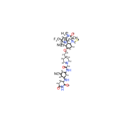 CCc1cc(N(C=S)C(C)(C)C(=O)N(C)c2cnc(C#N)c(C(F)(F)F)c2)ccc1OCCC1CCN(CC(=O)Nc2cc(C#N)cc(NC3CCC(=O)NC3=O)c2)CC1